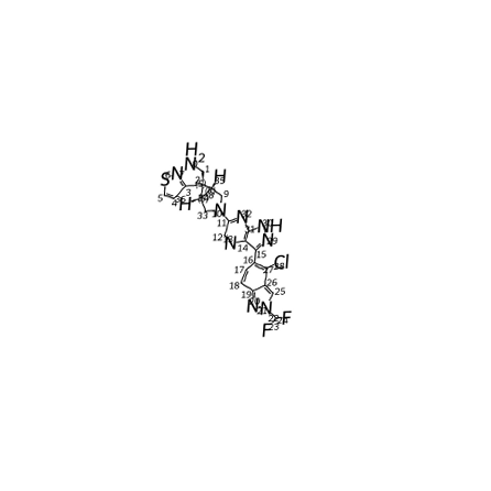 NC[C@@]1(c2ccsn2)[C@@H]2CN(c3cnc4c(-c5ccc6nn(C(F)F)cc6c5Cl)n[nH]c4n3)C[C@@H]21